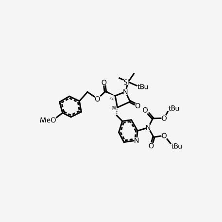 COc1ccc(COC(=O)[C@@H]2[C@@H](Cc3ccnc(N(C(=O)OC(C)(C)C)C(=O)OC(C)(C)C)c3)C(=O)N2[Si](C)(C)C(C)(C)C)cc1